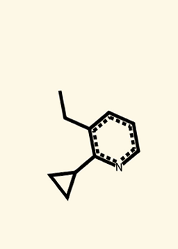 CCc1cccnc1C1CC1